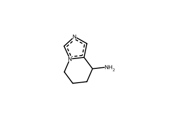 NC1CCCn2cncc21